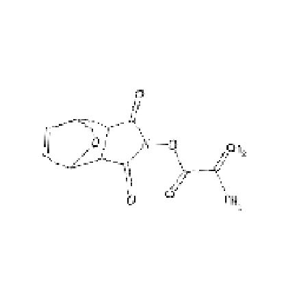 C=C(C)C(=O)ON1C(=O)C2C3C=CC(O3)C2C1=O